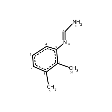 Cc1cccc(N=CN)c1C